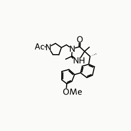 COc1cccc(-c2cccc([C@@H](C)C(C)(C)C(=O)N(CC3CCN(C(C)=O)C3)C(C)=N)c2)c1